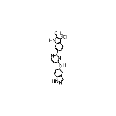 Cc1[nH]c2cc(-c3nccc(Nc4ccc5[nH]ncc5c4)n3)ccc2c1Cl